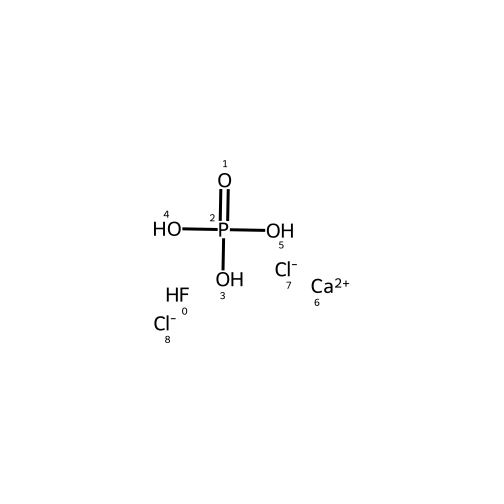 F.O=P(O)(O)O.[Ca+2].[Cl-].[Cl-]